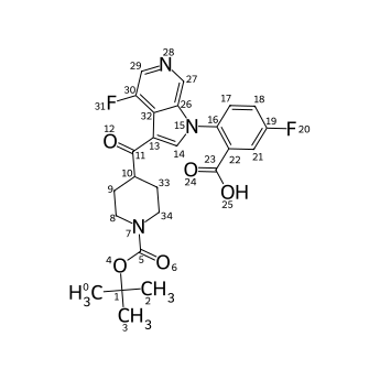 CC(C)(C)OC(=O)N1CCC(C(=O)c2cn(-c3ccc(F)cc3C(=O)O)c3cncc(F)c23)CC1